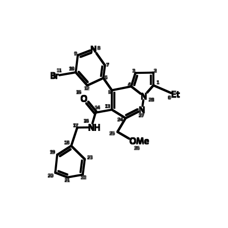 CCc1ccc2c(-c3cncc(Br)c3)c(C(=O)NCc3ccccc3)c(COC)nn12